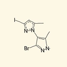 CC1=C(n2nc(I)cc2C)C(Br)=N[N]1